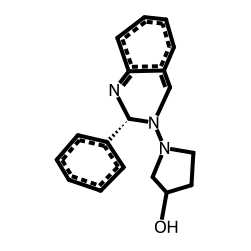 OC1CCN(N2C=c3ccccc3=N[C@H]2c2ccccc2)C1